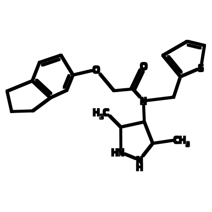 CC1NNC(C)C1N(Cc1cccs1)C(=O)COc1ccc2c(c1)CCC2